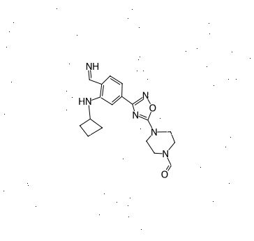 N=Cc1ccc(-c2noc(N3CCN(C=O)CC3)n2)cc1NC1CCC1